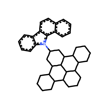 c1ccc2c(c1)ccc1c3ccccc3n(C3CC4C5CCCCC5C5CCCC6C7CCCCC7C(C3)C4C56)c21